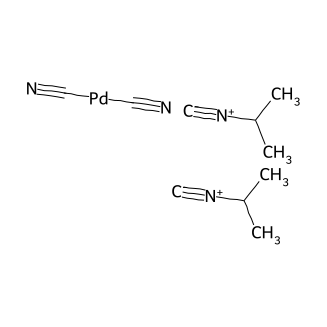 N#[C][Pd][C]#N.[C-]#[N+]C(C)C.[C-]#[N+]C(C)C